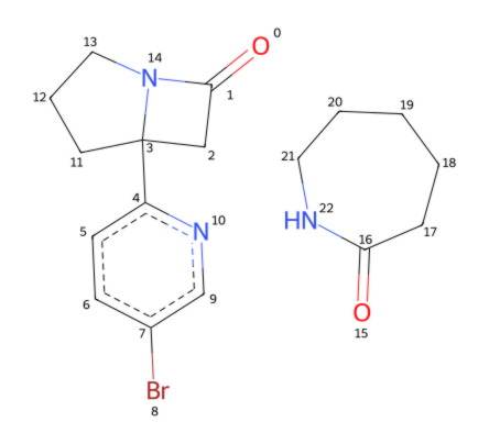 O=C1CC2(c3ccc(Br)cn3)CCCN12.O=C1CCCCCN1